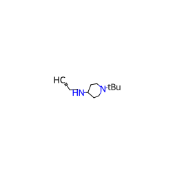 C#CCCNC1CCN(C(C)(C)C)CC1